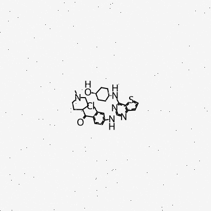 CN1CCC(C(=O)c2ccc(Nc3nc(N[C@H]4CC[C@H](O)CC4)c4sccc4n3)cc2Cl)CC1